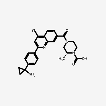 C[C@@H]1CN(C(=O)c2ccc3c(Cl)cc(-c4ccc(C5(N)CC5)cc4)nc3c2)CCN1C(=O)O